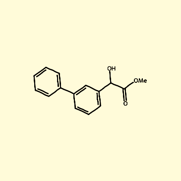 COC(=O)C(O)c1cccc(-c2ccccc2)c1